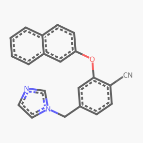 N#Cc1ccc(Cn2ccnc2)cc1Oc1ccc2ccccc2c1